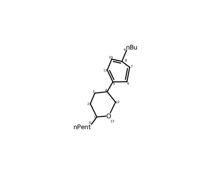 CCCCCC1CCC(c2ccc(CCCC)cc2)CO1